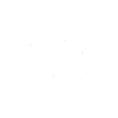 CC(=O)C1(C)C(C(=O)O)C(C)(C(C)=O)C1C(=O)O